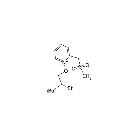 CCCCC(CC)CO[n+]1ccccc1CS(C)(=O)=O